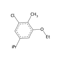 CCOc1cc(C(C)C)cc(Cl)c1C